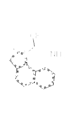 CCn1ncc2ccc3ccccc3c21.N